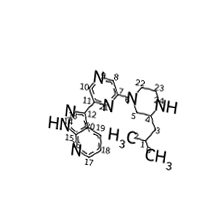 CC(C)CC1CN(c2cncc(-c3n[nH]c4ncccc34)n2)CCN1